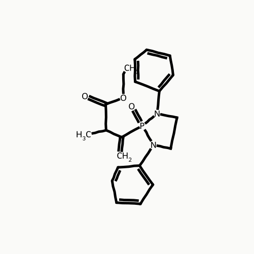 C=C(C(C)C(=O)OCC)P1(=O)N(c2ccccc2)CCN1c1ccccc1